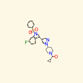 O=C(C1CC1)N1CCC(n2cc(-c3cn(S(=O)(=O)c4ccccc4)c4cc(F)ccc34)cn2)CC1